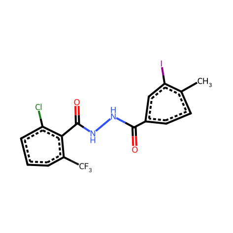 Cc1ccc(C(=O)NNC(=O)c2c(Cl)cccc2C(F)(F)F)cc1I